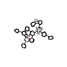 c1cccc(-c2cc(-c3nc(-c4ccc(-c5ccccc5)cc4)nc(-c4cccc5oc6ccccc6c45)n3)cc(-c3ccccc3)c2-n2c3c(c4cc(-c5ccccc5)ccc42)C=C(c2ccccc2)CC3)c#1